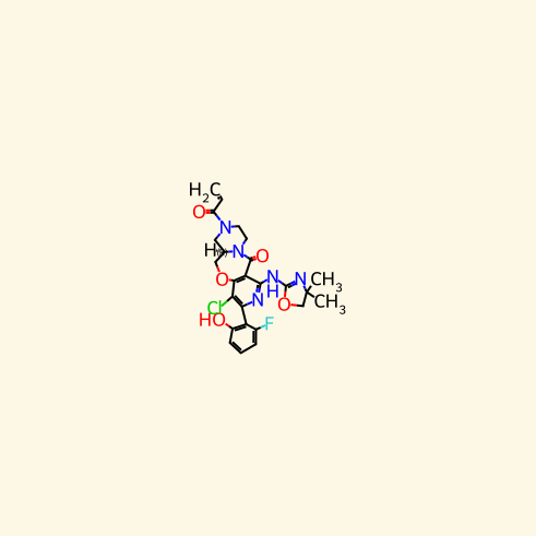 C=CC(=O)N1CCN2C(=O)c3c(NC4=NC(C)(C)CO4)nc(-c4c(O)cccc4F)c(Cl)c3OC[C@H]2C1